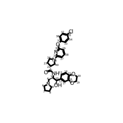 O=C(N[C@H](CN1CCCC1)[C@H](O)c1ccc2c(c1)OCCO2)[C@@H]1CCN(c2cccc(Oc3ccc(Cl)cc3)n2)C1